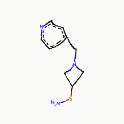 NSC1CN(Cc2ccncc2)C1